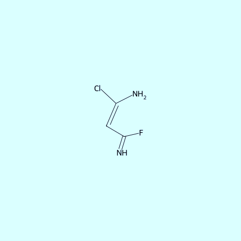 N=C(F)/C=C(\N)Cl